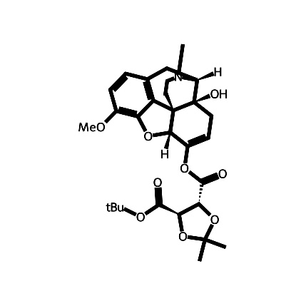 COc1ccc2c3c1O[C@H]1C(OC(=O)[C@@H]4OC(C)(C)O[C@H]4C(=O)OC(C)(C)C)=CC[C@@]4(O)[C@@H](C2)N(C)CC[C@]314